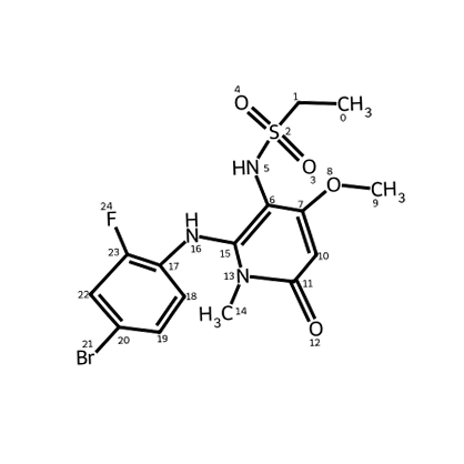 CCS(=O)(=O)Nc1c(OC)cc(=O)n(C)c1Nc1ccc(Br)cc1F